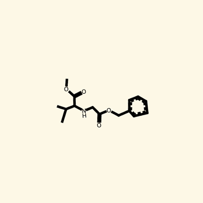 COC(=O)C(NCC(=O)OCc1ccccc1)C(C)C